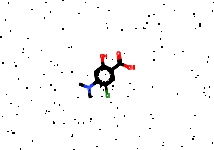 CN(C)c1cc(O)c(C(=O)O)cc1Cl